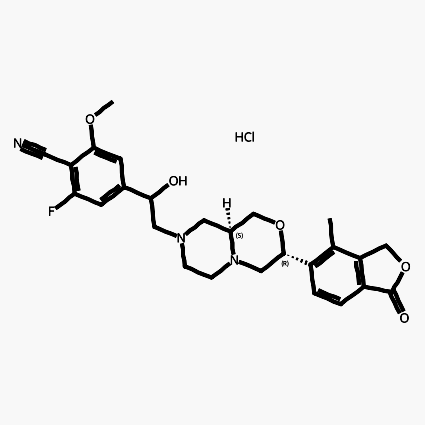 COc1cc(C(O)CN2CCN3C[C@@H](c4ccc5c(c4C)COC5=O)OC[C@@H]3C2)cc(F)c1C#N.Cl